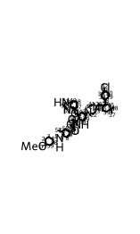 CO[C@H]1CC[C@H](CNc2ccc(S(=O)(=O)NC(=O)c3ccc(N4CCN(CC5=C(c6ccc(Cl)cc6)CC(C)(C)CC5)CC4)cc3Oc3cccc4[nH]cnc34)cc2C)CC1